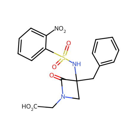 O=C(O)CN1CC(Cc2ccccc2)(NS(=O)(=O)c2ccccc2[N+](=O)[O-])C1=O